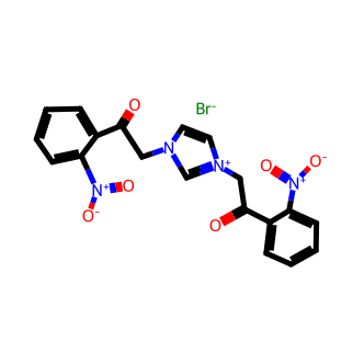 O=C(Cn1cc[n+](CC(=O)c2ccccc2[N+](=O)[O-])c1)c1ccccc1[N+](=O)[O-].[Br-]